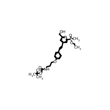 CCOP(C)(=O)c1cc(C#Cc2ccc(OCCCNC(=O)OC(C)(C)C)cc2)cc(CO)n1